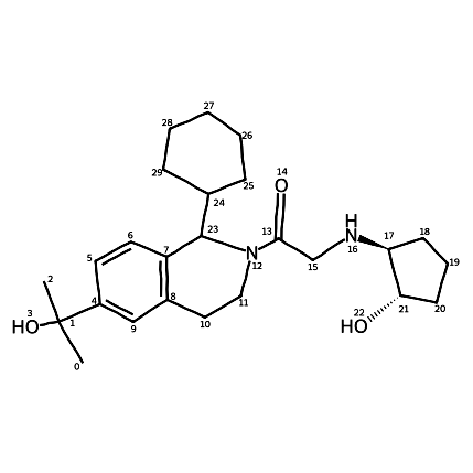 CC(C)(O)c1ccc2c(c1)CCN(C(=O)CN[C@H]1CCC[C@@H]1O)C2C1CCCCC1